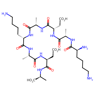 C[C@H](NC(=O)[C@H](CC(=O)O)NC(=O)[C@H](C)NC(=O)[C@H](CCCCN)NC(=O)[C@H](C)NC(=O)[C@H](CC(=O)O)NC(=O)[C@H](C)NC(=O)[C@@H](N)CCCCN)C(=O)O